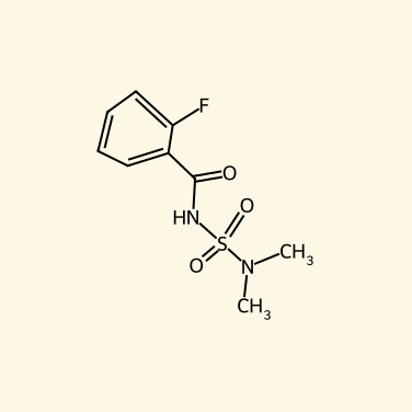 CN(C)S(=O)(=O)NC(=O)c1ccccc1F